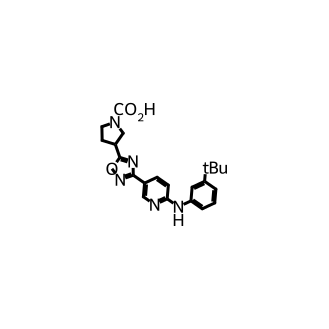 CC(C)(C)c1cccc(Nc2ccc(-c3noc(C4CCN(C(=O)O)C4)n3)cn2)c1